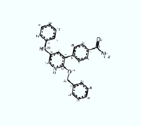 NC(=O)c1ccc(-c2cc(Nc3ccccc3)cnc2OCc2ccccc2)cc1